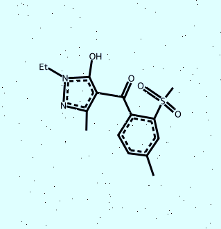 CCn1nc(C)c(C(=O)c2ccc(C)cc2S(C)(=O)=O)c1O